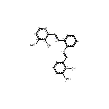 COc1cccc(/C=N/c2ccccc2/N=C/c2cccc(OC)c2O)c1O